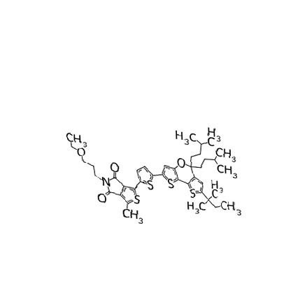 CCOCCCN1C(=O)c2c(C)sc(-c3ccc(-c4cc5c(s4)-c4sc(C(C)(C)CC)cc4C(CCC(C)C)(CCC(C)C)O5)s3)c2C1=O